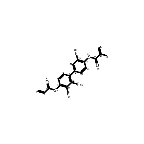 C=CC(=O)Sc1ccc(-c2ccc(SC(=O)C(=C)C)c(F)c2)c(F)c1F